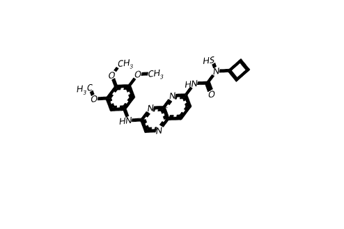 COc1cc(Nc2cnc3ccc(NC(=O)N(S)C4CCC4)nc3n2)cc(OC)c1OC